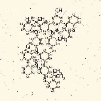 Cc1cc2c3c(c1)N1c4ccccc4Sc4cccc(c41)B3N(c1ccc(Cc3cc4c5c(c3)N3c6ccccc6Oc6cccc(c63)B5N(c3ccccc3)c3cc5c(cc3-4)C(C)(C)c3ccccc3S5)cc1C)c1cc3c(cc1-2)C(C)(C)c1ccccc1O3